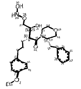 CCOc1ccc(CCC[C@@H](C(=O)N2CCOC[C@@H]2Cc2ccccc2)[C@H](O)CONO)cc1